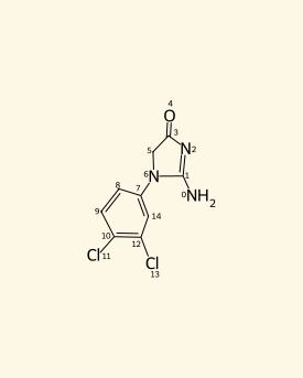 NC1=NC(=O)CN1c1ccc(Cl)c(Cl)c1